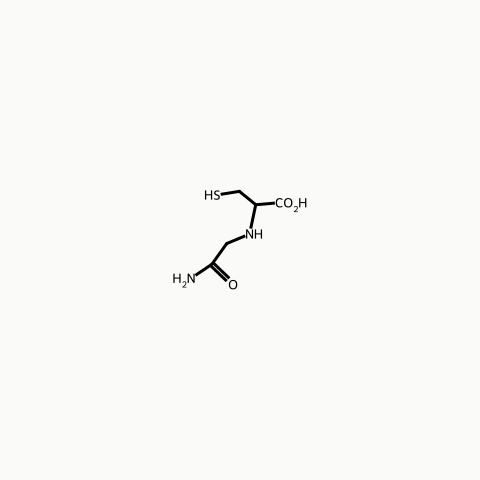 NC(=O)CNC(CS)C(=O)O